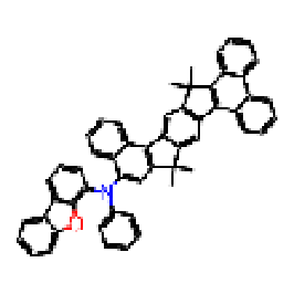 CC1(C)c2cc3c(cc2-c2c1cc(N(c1ccccc1)c1cccc4c1oc1ccccc14)c1ccccc21)C(C)(C)c1c-3c2ccccc2c2ccccc12